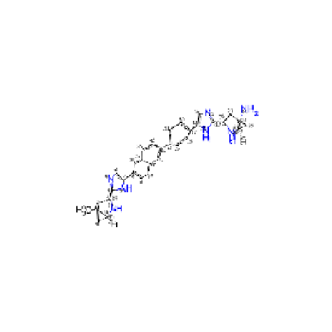 C[C@@]12C[C@@H](c3ncc(-c4ccc5cc(-c6ccc(-c7cnc([C@@H]8C[C@@]9(N)C[C@H]9N8)[nH]7)cc6)ccc5c4)[nH]3)N[C@@H]1C2